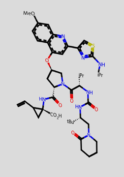 C=CC1C[C@]1(NC(=O)[C@@H]1C[C@@H](Oc2cc(-c3csc(NC(C)C)n3)nc3cc(OC)ccc23)CN1C(=O)[C@@H](NC(=O)N[C@H](CN1CCCCC1=O)C(C)(C)C)C(C)C)C(=O)O